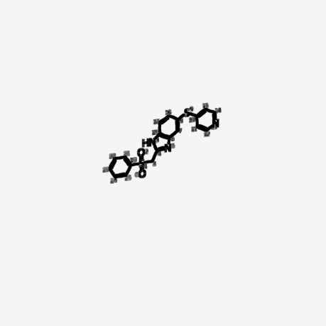 O=S(=O)(Cc1nc2cc(Sc3ccncc3)ccc2[nH]1)c1ccccc1